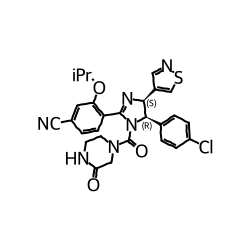 CC(C)Oc1cc(C#N)ccc1C1=N[C@@H](c2cnsc2)[C@@H](c2ccc(Cl)cc2)N1C(=O)N1CCNC(=O)C1